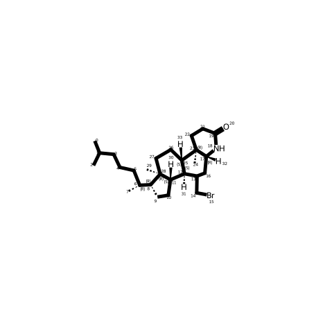 CC(C)CCC[C@@H](C)[C@H]1CC[C@H]2[C@@H]3C(CBr)C[C@H]4NC(=O)CC[C@]4(C)[C@H]3CC[C@]12C